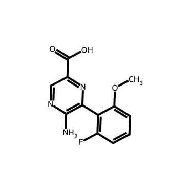 COc1cccc(F)c1-c1nc(C(=O)O)cnc1N